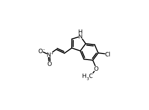 COc1cc2c(/C=C/[N+](=O)[O-])c[nH]c2cc1Cl